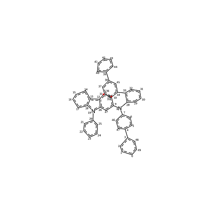 c1ccc(-c2ccc(N(c3ccc4c5ccccc5n(-c5ccccc5)c4c3)c3ccccc3-c3cccc(-c4ccccc4)c3)cc2)cc1